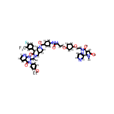 CCOc1ccc(-n2c([C@H](C)N(CC3CCN(C(=O)C4CCC(NC(=O)CCCOC5CCC(OCCNC(=O)[C@H]6CC(=O)N(C)[C@@H]6c6cccnc6)CC5)CC4)CC3)C(=O)Cc3ccc(F)c(C(F)(F)F)c3)nc3ncccc3c2=O)cc1